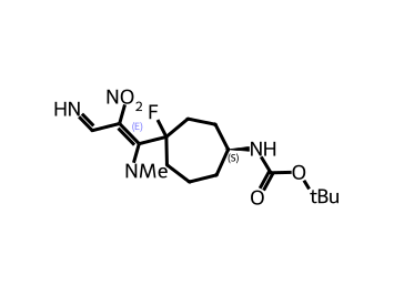 CN/C(=C(\C=N)[N+](=O)[O-])C1(F)CCC[C@H](NC(=O)OC(C)(C)C)CC1